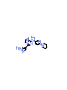 c1cn2c(-c3cn[nH]c3)cnc(Nc3ccc(N4CCCCC4)nc3)c2n1